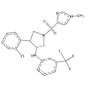 Cn1cnc(S(=O)(=O)N2CC(Nc3cccc(C(F)(F)F)c3)C(c3ccccc3Cl)C2)c1